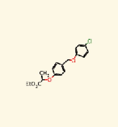 CCOC(=O)C(C)Oc1ccc(COc2ccc(Cl)cc2)cc1